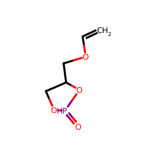 C=COCC1CO[PH](=O)O1